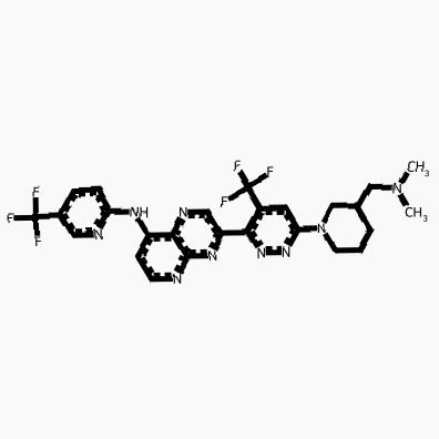 CN(C)CC1CCCN(c2cc(C(F)(F)F)c(-c3cnc4c(Nc5ccc(C(F)(F)F)cn5)ccnc4n3)nn2)C1